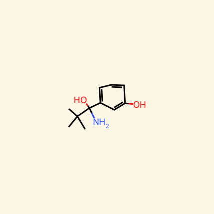 CC(C)(C)C(N)(O)c1cccc(O)c1